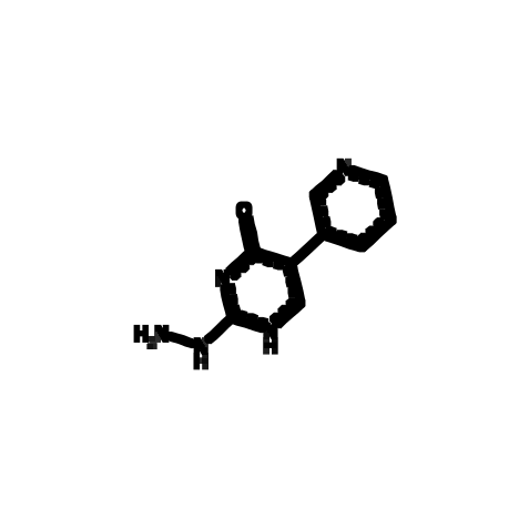 NNc1nc(=O)c(-c2cccnc2)c[nH]1